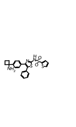 NC1(c2ccc(-c3nc(NS(=O)(=O)c4cccs4)sc3-c3ccccc3)cc2)CCC1